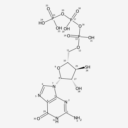 Nc1nc2c(ncn2[C@@H]2O[C@H](COP(=O)(O)OP(=O)(O)OP(=O)(O)O)[C@@H](S)[C@@H]2O)c(=O)[nH]1